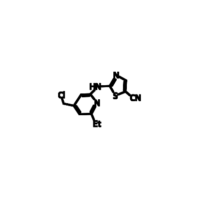 CCc1cc(CCl)cc(Nc2ncc(C#N)s2)n1